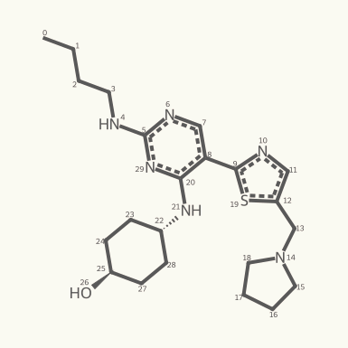 CCCCNc1ncc(-c2ncc(CN3CCCC3)s2)c(N[C@H]2CC[C@H](O)CC2)n1